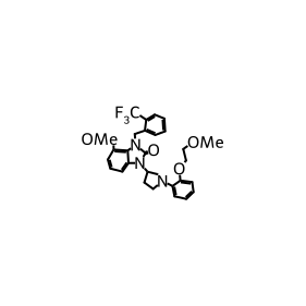 COCCOc1ccccc1N1CCC(n2c(=O)n(Cc3ccccc3C(F)(F)F)c3c(OC)cccc32)C1